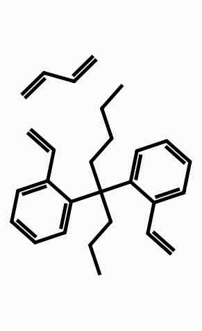 C=CC=C.C=Cc1ccccc1C(CCC)(CCCC)c1ccccc1C=C